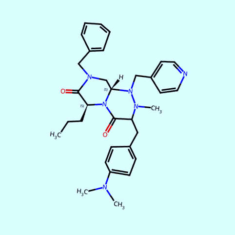 CCC[C@H]1C(=O)N(Cc2ccccc2)C[C@H]2N1C(=O)C(Cc1ccc(N(C)C)cc1)N(C)N2Cc1ccncc1